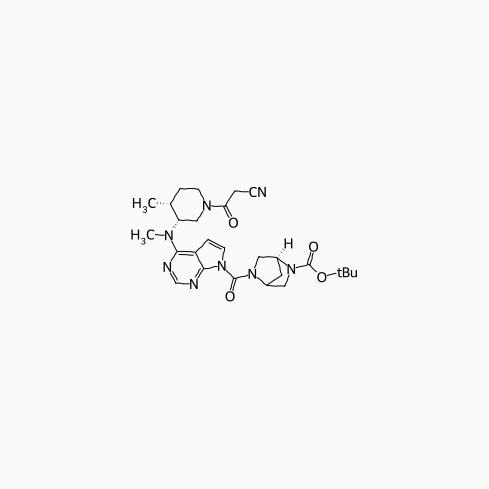 C[C@@H]1CCN(C(=O)CC#N)C[C@@H]1N(C)c1ncnc2c1ccn2C(=O)N1C[C@@H]2CC1CN2C(=O)OC(C)(C)C